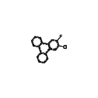 Fc1cc2c3ccccc3c3ccccc3c2cc1Cl